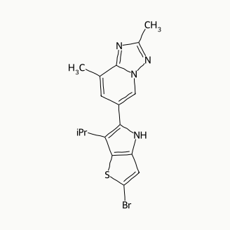 Cc1nc2c(C)cc(-c3[nH]c4cc(Br)sc4c3C(C)C)cn2n1